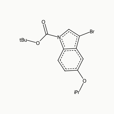 CC(C)Oc1ccc2c(c1)c(Br)cn2C(=O)OC(C)(C)C